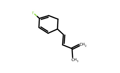 C=C(C)/C=C/C1C=CC(F)=CC1